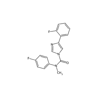 CN(C(=O)n1cnc(-c2ccccc2F)c1)c1ccc(F)cc1